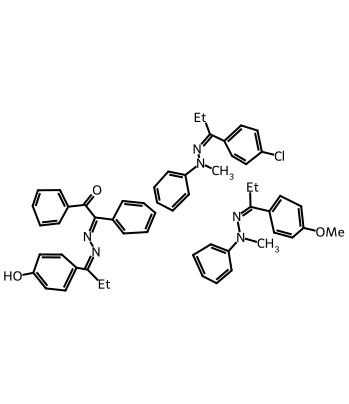 CCC(=NN(C)c1ccccc1)c1ccc(Cl)cc1.CCC(=NN(C)c1ccccc1)c1ccc(OC)cc1.CCC(=NN=C(C(=O)c1ccccc1)c1ccccc1)c1ccc(O)cc1